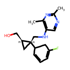 Cc1ncc(NC[C@@]2(C3C=CC=C(F)C3)C[C@H]2CO)c(C)n1